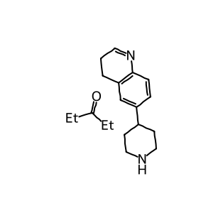 C1=Nc2ccc(C3CCNCC3)cc2CC1.CCC(=O)CC